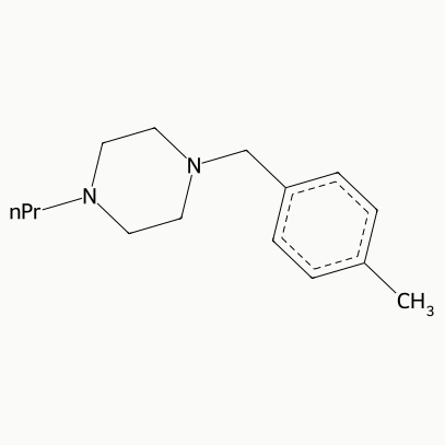 CCCN1CCN(Cc2ccc(C)cc2)CC1